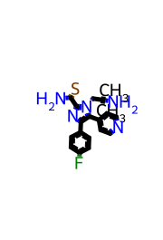 CC(C)(N)Cn1c(C(N)=S)nc(-c2ccc(F)cc2)c1-c1ccncc1